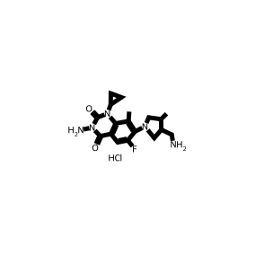 Cc1c(N2CC(C)C(CN)C2)c(F)cc2c(=O)n(N)c(=O)n(C3CC3)c12.Cl